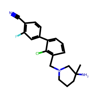 CC1(N)CCCN(Cc2cccc(-c3ccc(C#N)c(F)c3)c2Cl)C1